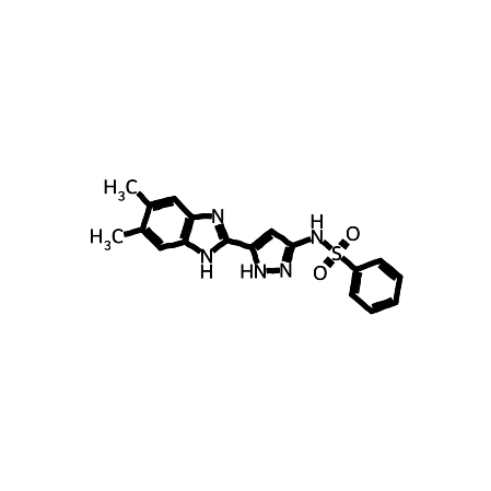 Cc1cc2nc(-c3cc(NS(=O)(=O)c4ccccc4)n[nH]3)[nH]c2cc1C